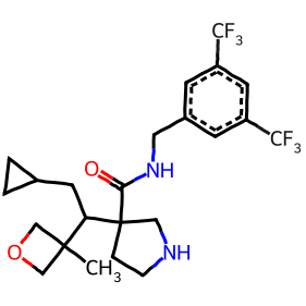 CC1(C(CC2CC2)C2(C(=O)NCc3cc(C(F)(F)F)cc(C(F)(F)F)c3)CCNC2)COC1